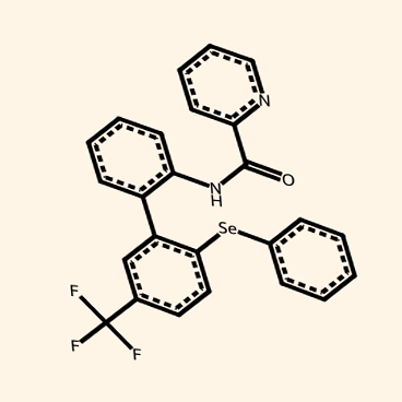 O=C(Nc1ccccc1-c1cc(C(F)(F)F)ccc1[Se]c1ccccc1)c1ccccn1